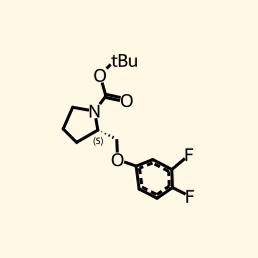 CC(C)(C)OC(=O)N1CCC[C@H]1COc1ccc(F)c(F)c1